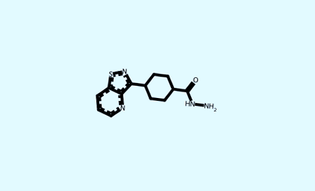 NNC(=O)C1CCC(c2nsc3cccnc23)CC1